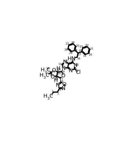 CCCc1noc([C@@H]2O[C@H](n3cnc4c(NCC(c5ccccc5)c5ccccc5)nc(Cl)nc43)[C@H]3OC(C)(C)O[C@H]32)n1